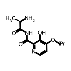 CC(C)Oc1ccnc(C(=O)NC(=O)[C@@H](C)N)c1O